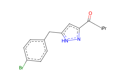 CC(C)C(=O)c1cc(Cc2ccc(Br)cc2)[nH]n1